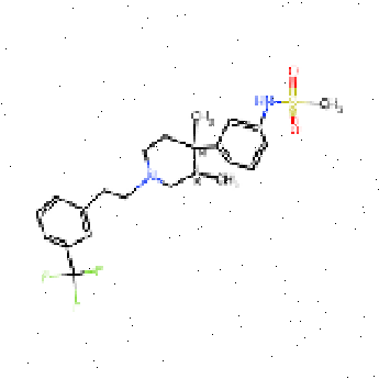 C[C@H]1CN(CCc2cccc(C(F)(F)F)c2)CC[C@]1(C)c1cccc(NS(C)(=O)=O)c1